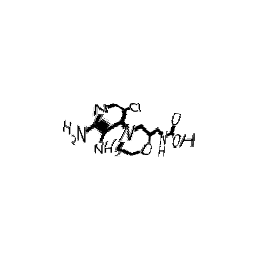 Nc1ncc(Cl)c(N2CCOC(CNC(=O)O)C2)c1N